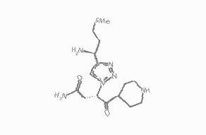 CSCC[C@H](N)c1cn([C@@H](CC(N)=O)C(=O)C2CCNCC2)nn1